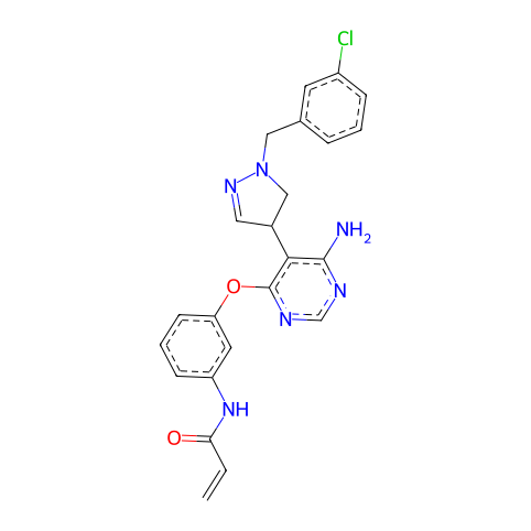 C=CC(=O)Nc1cccc(Oc2ncnc(N)c2C2C=NN(Cc3cccc(Cl)c3)C2)c1